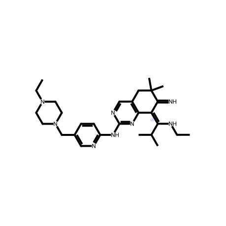 CCN/C(=C1\C(=N)C(C)(C)Cc2cnc(Nc3ccc(CN4CCN(CC)CC4)cn3)nc21)C(C)C